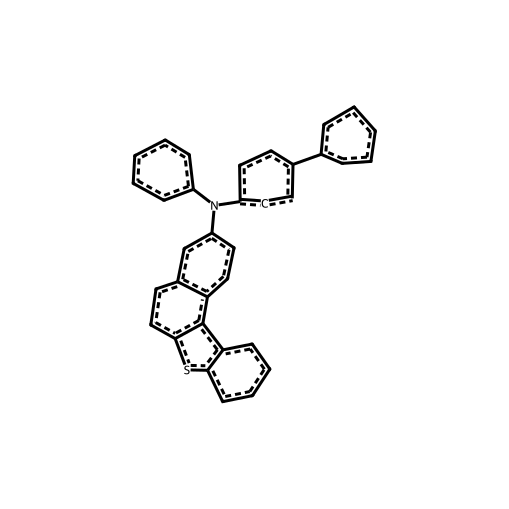 c1ccc(-c2ccc(N(c3ccccc3)c3ccc4c(ccc5sc6ccccc6c54)c3)cc2)cc1